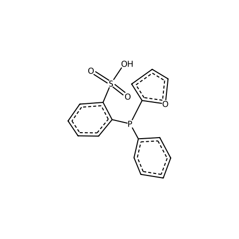 O=S(=O)(O)c1ccccc1P(c1ccccc1)c1ccco1